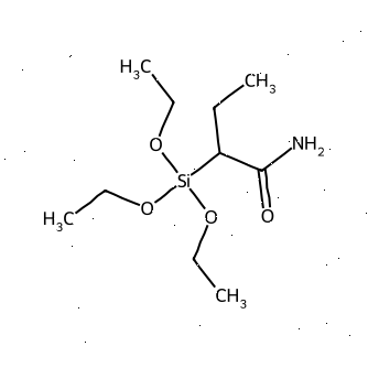 CCO[Si](OCC)(OCC)C(CC)C(N)=O